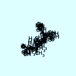 CCCO[C@H](C[C@H](C(C)C)N(C)C(=O)[C@@H](NC(=O)[C@H]1CCCC[N+]1(C)Cc1ccc(O[C@@H]2O[C@H](C(=O)O)[C@@H](O)[C@H](O)[C@H]2O)c(NC(=O)CCNC(=O)C(CN)N2C(=O)C=CC2=O)c1)[C@@H](C)CC)c1nc(C(=O)N[C@@H](Cc2ccccc2)C[C@H](C)C(=O)O)cs1